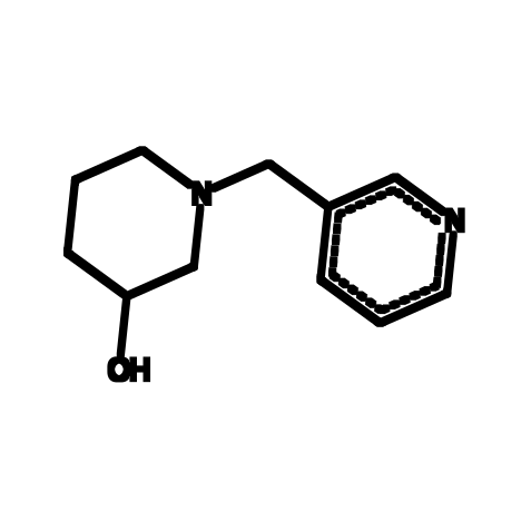 OC1CCCN(Cc2cccnc2)C1